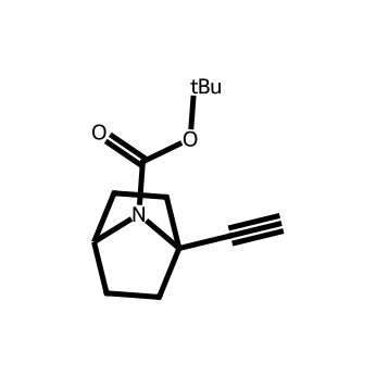 C#CC12CCC(CC1)N2C(=O)OC(C)(C)C